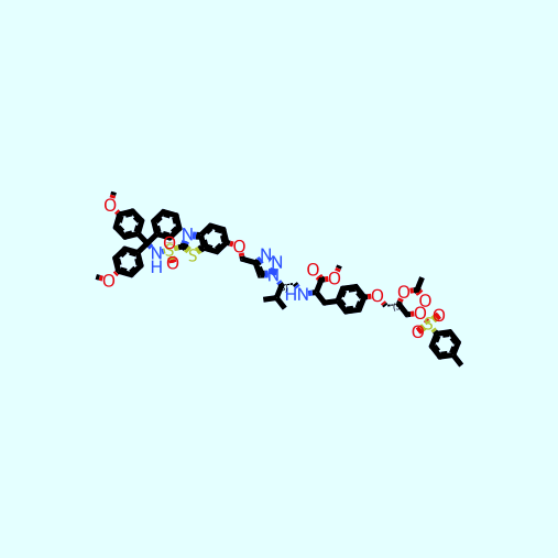 COC(=O)C(Cc1ccc(OC[C@@H](COS(=O)(=O)c2ccc(C)cc2)OC(C)=O)cc1)NC[C@H](C(C)C)n1cc(COc2ccc3nc(S(=O)(=O)NC(c4ccccc4)(c4ccc(OC)cc4)c4ccc(OC)cc4)sc3c2)nn1